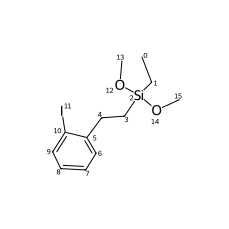 CC[Si](CCc1ccccc1I)(OC)OC